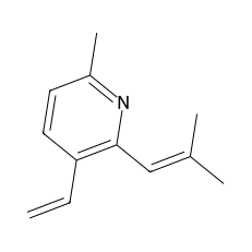 C=Cc1ccc(C)nc1C=C(C)C